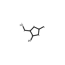 CC1CC(CS)C(C(C)C)C1